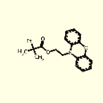 CCC(C)(C)C(=O)OCCN1c2ccccc2Oc2ccccc21